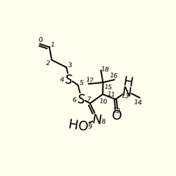 C=CCCSCS/C(=N\O)C(C(=O)NC)C(C)(C)C